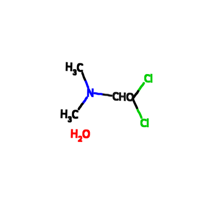 CN(C)C=O.ClCCl.O